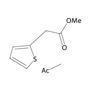 CC(C)=O.COC(=O)Cc1cccs1